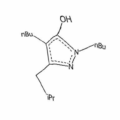 CCCCc1c(CC(C)C)nn(CCCC)c1O